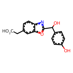 O=C(O)Cc1ccc2nc(C(O)c3ccc(O)cc3)oc2c1